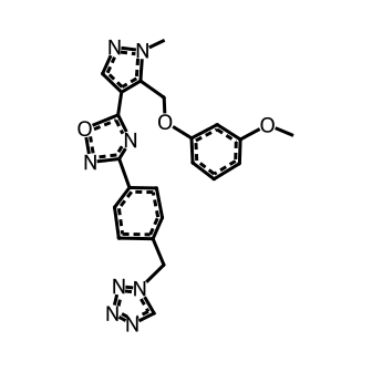 COc1cccc(OCc2c(-c3nc(-c4ccc(Cn5cnnn5)cc4)no3)cnn2C)c1